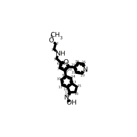 COCCNCc1cc(-c2ccc3c(c2)CCC3=NO)c(-c2ccncc2)o1